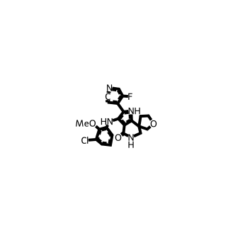 COc1c(Cl)cccc1Nc1c(-c2ccncc2F)[nH]c2c1C(=O)NCC21CCOC1